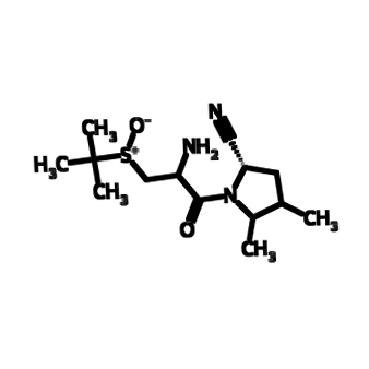 CC1C[C@@H](C#N)N(C(=O)C(N)C[S+]([O-])C(C)(C)C)C1C